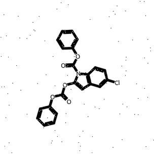 O=C(Oc1ccccc1)Oc1cc2cc(Cl)ccc2n1C(=O)Oc1ccccc1